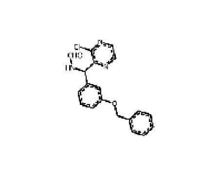 O=CNC(c1cccc(OCc2ccccc2)c1)c1nccnc1Cl